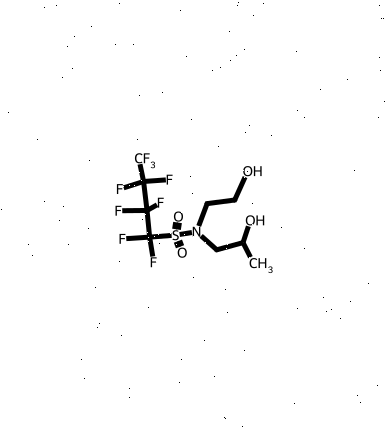 CC(O)CN(CCO)S(=O)(=O)C(F)(F)C(F)(F)C(F)(F)C(F)(F)F